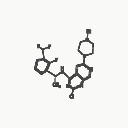 CCN1CCN(c2cc3c(N[C@H](C)c4cccc(C(F)F)c4F)nc(Cl)nc3cn2)CC1